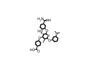 CN(C)c1cccc(Oc2nc(Oc3cc(C(=N)N)ccc3O)c(F)c(Oc3ccc(C(=O)O)cc3)c2F)c1